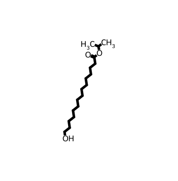 CC(C)OC(=O)CCCCCCCCCCCCCCO